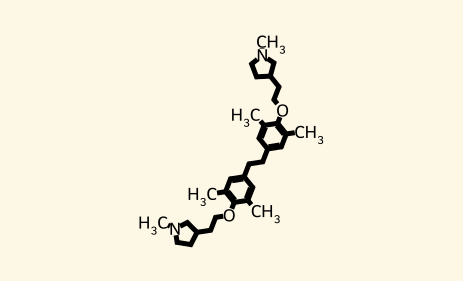 Cc1cc(CCc2cc(C)c(OCCC3CCN(C)C3)c(C)c2)cc(C)c1OCCC1CCN(C)C1